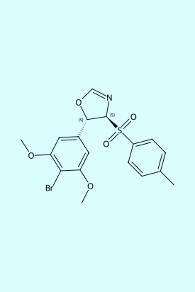 COc1cc([C@@H]2OC=N[C@H]2S(=O)(=O)c2ccc(C)cc2)cc(OC)c1Br